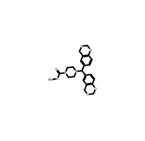 CC(C)(C)OC(=O)N1CCN(C(c2ccc3c(c2)COCO3)c2ccc3c(c2)COCO3)CC1